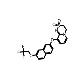 O=S1(=O)CCN2C=CC=C(Oc3ccc4ccc(OCC(F)(F)F)cc4c3)C2=N1